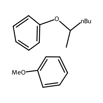 CCCCC(C)Oc1ccccc1.COc1ccccc1